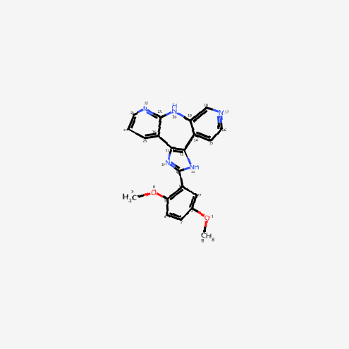 COc1ccc(OC)c(-c2nc3c([nH]2)-c2ccncc2Nc2ncccc2-3)c1